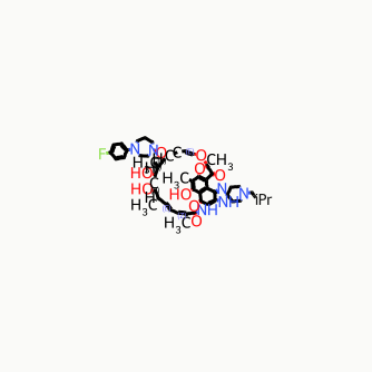 C/C1=C/C=C/C(C)[C@H](O)CC(O)[C@@H](C)[C@H](ON2CCCN(c3ccc(F)cc3)CC2)CC/C=C/OC2(C)Oc3c(C)c(O)c4c(c3C2=O)C2=NC3(CCN(CC(C)C)CC3)NC2=C(NC1=O)C4=O